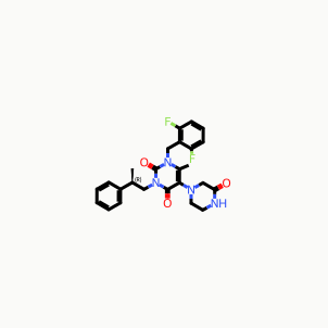 Cc1c(N2CCNC(=O)C2)c(=O)n(C[C@H](C)c2ccccc2)c(=O)n1Cc1c(F)cccc1F